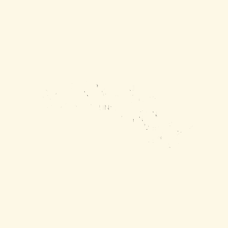 CCS(=O)(=O)c1ccc(N(CC(=O)Nc2cc(Cl)c(C3(c4noc(-c5cc(F)ccc5F)n4)CC3)c(Cl)c2)CC(F)(F)F)cc1